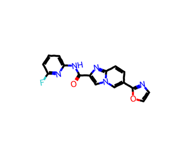 O=C(Nc1cccc(F)n1)c1cn2cc(-c3ncco3)ccc2n1